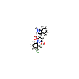 Cn1cc(C2=CC(=O)N(c3cccc(Cl)c3Cl)C2=O)c2ccccc21